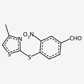 Cc1csc(Sc2ccc(C=O)cc2[N+](=O)[O-])n1